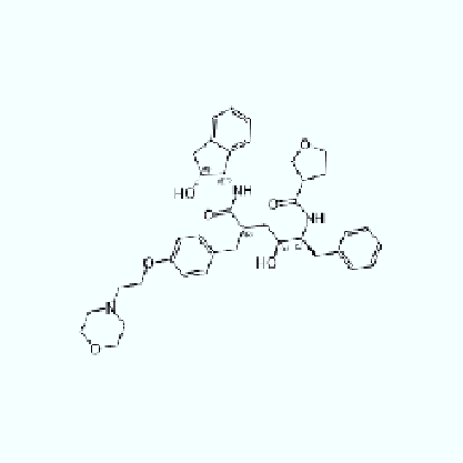 O=C(N[C@@H](Cc1ccccc1)[C@@H](O)C[C@@H](Cc1ccc(OCCN2CCOCC2)cc1)C(=O)N[C@H]1c2ccccc2C[C@H]1O)C1CCOC1